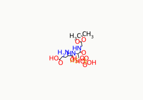 CC(C)OC(=O)CNC(=O)C(CS)NC(=O)C(N)CCC(=O)O.O.O=S(=O)(O)O